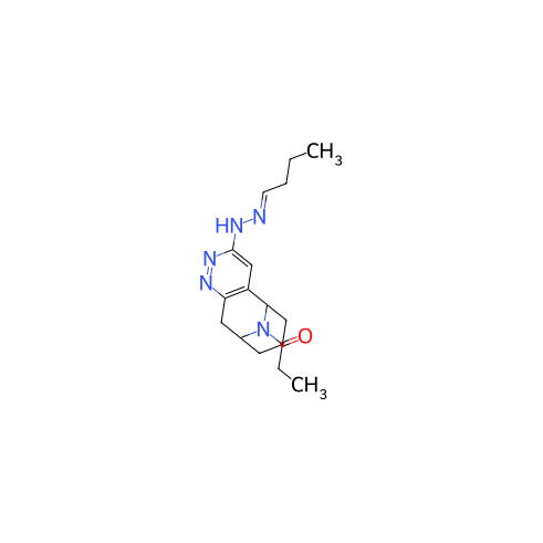 CCCC=NNc1cc2c(nn1)CC1CCCC2N1C(=O)CC